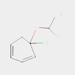 CC(Br)OC1(Cl)C=CC=CC1